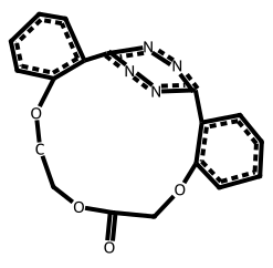 O=C1COc2ccccc2-c2nnc(nn2)-c2ccccc2OCCO1